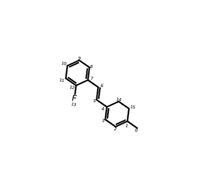 CC1=CC=C(/C=C/c2ccccc2F)CC1